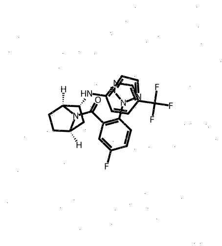 O=C(c1cc(F)ccc1-n1nccn1)N1[C@@H]2CC[C@H]1[C@H](Nc1ccc(C(F)(F)F)cn1)C2